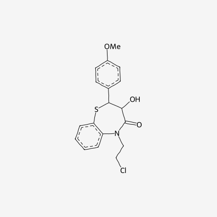 COc1ccc(C2Sc3ccccc3N(CCCl)C(=O)C2O)cc1